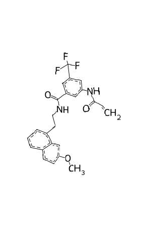 C=CC(=O)Nc1cc(C(=O)NCCc2cccc3ccc(OC)cc23)cc(C(F)(F)F)c1